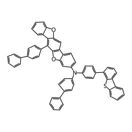 c1ccc(-c2ccc(-c3c4oc5cc(N(c6ccc(-c7ccccc7)cc6)c6ccc(-c7cccc8c7sc7ccccc78)cc6)ccc5c4cc4oc5ccccc5c34)cc2)cc1